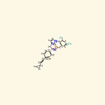 Fc1cc(F)cc(CO/N=C(\Cn2ccnc2)c2ccc(C#CC3CC3)cc2)c1